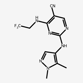 Cc1c(Nc2ncc(C#N)c(NCC(F)(F)F)n2)cnn1C